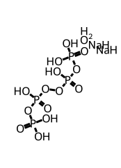 O.O=P(O)(O)OP(=O)(O)OOP(=O)(O)OP(=O)(O)O.[NaH].[NaH]